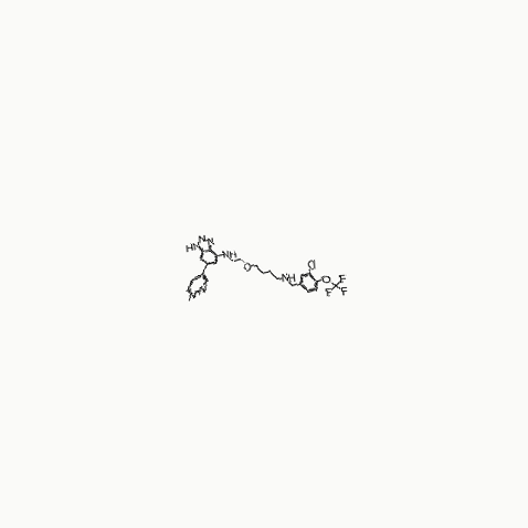 FC(F)(F)Oc1ccc(CNCCCCOCCNc2cc(-c3ccnnc3)cc3[nH]nnc23)cc1Cl